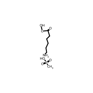 CS(=O)(=O)O.NCCCCCC(=O)OO